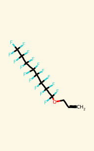 C=CCOC(F)(F)C(F)(F)C(F)(F)C(F)(F)C(F)(F)C(F)(F)C(F)(F)C(F)(F)F